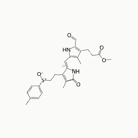 COC(=O)CCc1c(C=O)[nH]c(/C=C2\NC(=O)C(C)=C2CC[S+]([O-])c2ccc(C)cc2)c1C